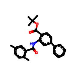 Cc1ccc(C)c(C(=O)Nc2cc(-c3ccccc3)ccc2C(=O)OC(C)(C)C)c1